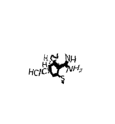 CSc1cccc(N)c1C(=N)N.Cl.Cl